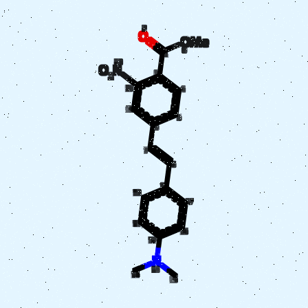 COC(=O)c1ccc(/C=C/c2ccc(N(C)C)cc2)cc1[N+](=O)[O-]